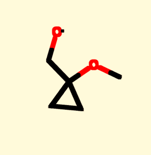 COC1(C[O])CC1